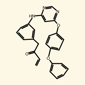 C=CC(=O)Cc1cccc(Nc2cc(Oc3ccc(Oc4ccccc4)cc3)ncn2)c1